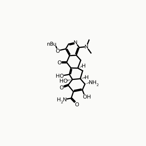 CCCCOc1cnc(N(C)C)c2c1C(=O)C1=C(O)[C@]3(O)C(=O)C(C(N)=O)=C(O)[C@@H](N)[C@@H]3C[C@@H]1C2